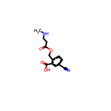 CNCCC(=O)OCc1ccc(C#N)cc1C(=O)O